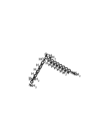 CC1(C(=O)O)C=CC=C(C(=O)O)C1.CN(C)N.CN(C)N.CN(C)N.CN1CCN(N)CC1.NN1CCCCC1.NN1CCCCC1.NN1CCCCC1.NN1CCCCC1.NN1CCCCC1.NN1CCCCC1.NN1CCCCC1.NN1CCCCC1.NN1CCCCC1.NN1CCCCC1.NN1CCCCC1.NNc1ccccc1